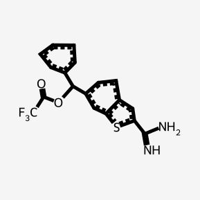 N=C(N)c1cc2ccc(C(OC(=O)C(F)(F)F)c3ccccc3)cc2s1